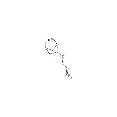 C=CCOC1CC2C=CC1C2